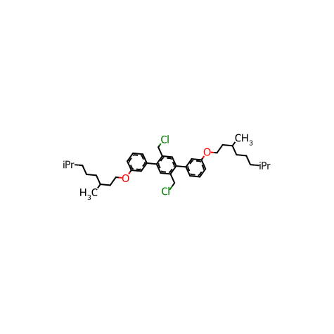 CC(C)CCCC(C)CCOc1cccc(-c2cc(CCl)c(-c3cccc(OCCC(C)CCCC(C)C)c3)cc2CCl)c1